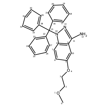 COCCOc1ccc2c(c1)c(N)nn2C(c1ccccc1)(c1ccccc1)c1ccccc1